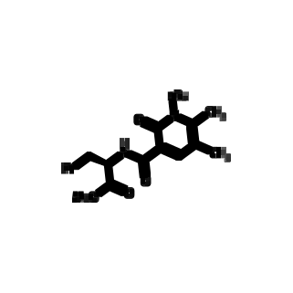 CCCCn1c(C)c(C)cc(C(=O)N[C@H](CC(C)C)C(=O)OC)c1=O